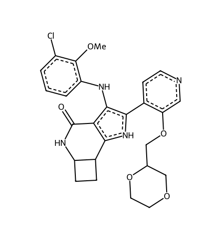 COc1c(Cl)cccc1Nc1c(-c2ccncc2OCC2COCCO2)[nH]c2c1C(=O)NC1CCC21